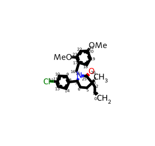 C=CCC1(C)CCC(c2ccc(Cl)cc2)N(Cc2ccc(OC)cc2OC)C1=O